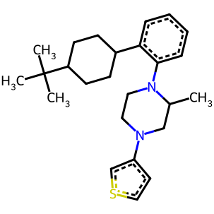 CC1CN(c2ccsc2)CCN1c1ccccc1C1CCC(C(C)(C)C)CC1